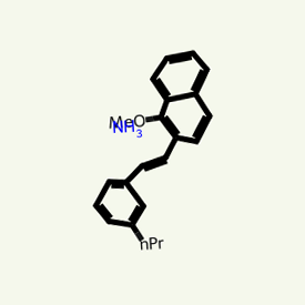 CCCc1cccc(C=Cc2ccc3ccccc3c2OC)c1.N